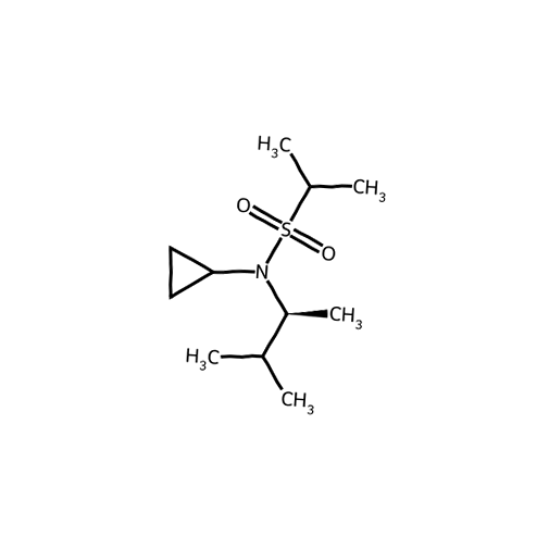 CC(C)[C@H](C)N(C1CC1)S(=O)(=O)C(C)C